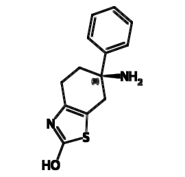 N[C@]1(c2ccccc2)CCc2nc(O)sc2C1